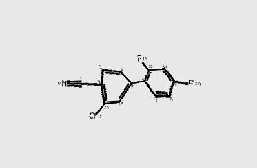 N#Cc1ccc(-c2ccc(F)cc2F)cc1Cl